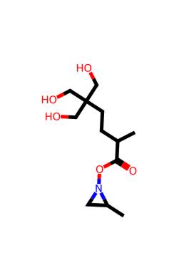 CC(CCC(CO)(CO)CO)C(=O)ON1CC1C